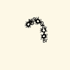 Brc1ccc(C2CCN(CCOc3ccc(Oc4nc5ccccc5o4)cc3)CC2)cc1